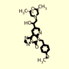 COc1ccc(Cn2c(=O)n3ncnc3c3cc(C(O)CN4C[C@@H](C)O[C@@H](C)C4)cnc32)cc1